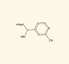 CCCCCCCC(CCCC)c1ccnc(C#N)c1